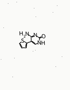 Nc1nc(=O)[nH]cc1-c1cccs1